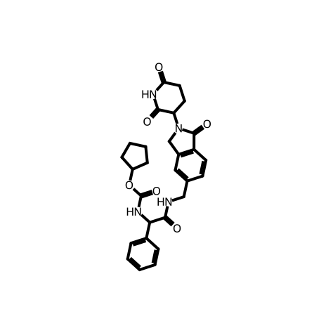 O=C1CCC(N2Cc3cc(CNC(=O)C(NC(=O)OC4CCCC4)c4ccccc4)ccc3C2=O)C(=O)N1